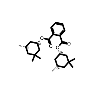 C[C@@H]1C[C@H](OC(=O)c2ccccc2C(=O)O[C@H]2C[C@@H](C)CC(C)(C)C2)CC(C)(C)C1